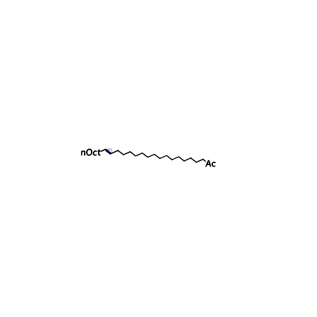 CCCCCCCC/C=C/CCCCCCCCCCCCCCCC(C)=O